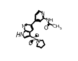 CC(=O)Nc1cc(-c2cnc3[nH]cc(S(=O)(=O)N4CCCC4)c3c2)ccn1